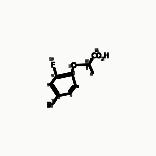 C[C@@H](Oc1ccc(Br)cc1F)C(=O)O